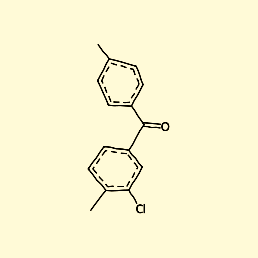 Cc1ccc(C(=O)c2ccc(C)c(Cl)c2)cc1